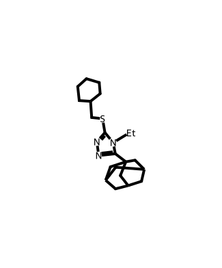 CCn1c(SCC2CCCCC2)nnc1C12CC3CC(CC(C3)C1)C2